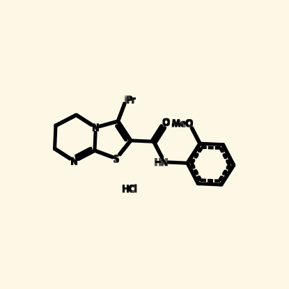 COc1ccccc1NC(=O)C1=C(C(C)C)N2CCCN=C2S1.Cl